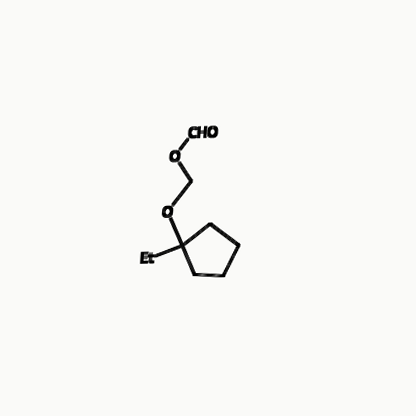 CCC1(OCOC=O)CCCC1